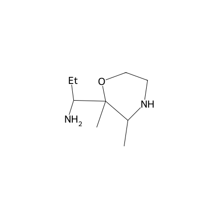 CCC(N)C1(C)OCCNC1C